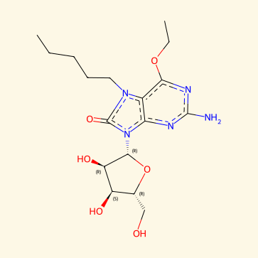 CCCCCn1c(=O)n([C@@H]2O[C@H](CO)[C@@H](O)[C@H]2O)c2nc(N)nc(OCC)c21